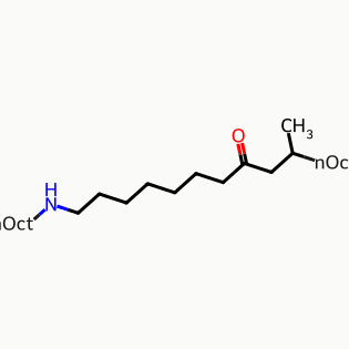 CCCCCCCCNCCCCCCCC(=O)CC(C)CCCCCCCC